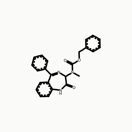 CN(C(=O)OCc1ccccc1)C1N=C(c2ccccc2)c2ccccc2NC1=O